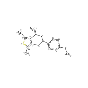 C=C1CC(c2ccc(CC)cc2)Cc2c(C)sc(C)c21